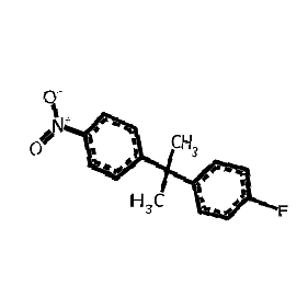 CC(C)(c1ccc(F)cc1)c1ccc([N+](=O)[O-])cc1